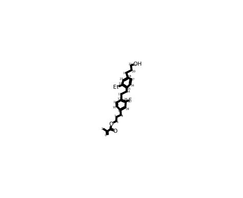 C=C(C)C(=O)OCCCc1ccc(CCc2ccc(CCCO)cc2CC)c(F)c1